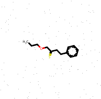 CCCOCC(=S)CCc1ccccc1